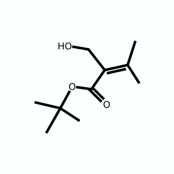 CC(C)=C(CO)C(=O)OC(C)(C)C